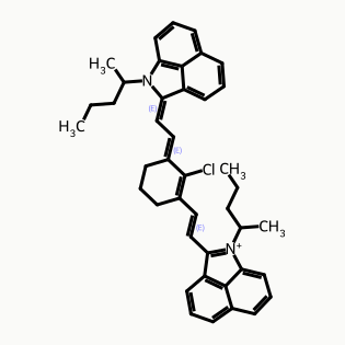 CCCC(C)n1/c(=C/C=C2\CCCC(/C=C/C3=[N+](C(C)CCC)c4cccc5cccc3c45)=C2Cl)c2cccc3cccc1c32